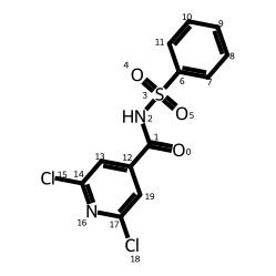 O=C(NS(=O)(=O)c1ccccc1)c1cc(Cl)nc(Cl)c1